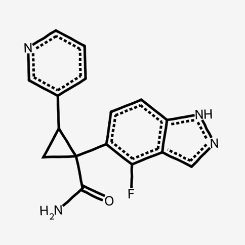 NC(=O)C1(c2ccc3[nH]ncc3c2F)CC1c1cccnc1